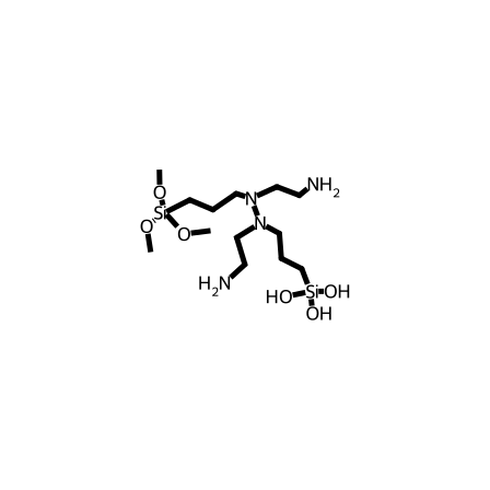 CO[Si](CCCN(CCN)N(CCN)CCC[Si](O)(O)O)(OC)OC